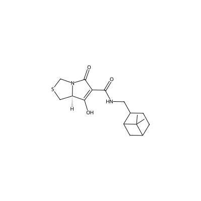 CC1(C)C2CCC(CNC(=O)C3=C(O)[C@H]4CSCN4C3=O)C1C2